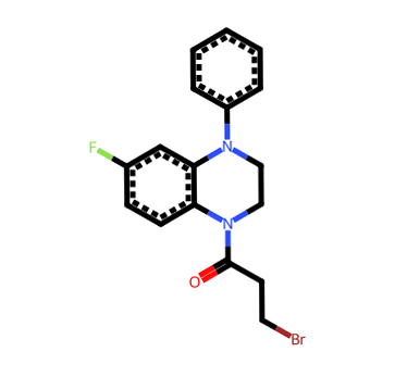 O=C(CCBr)N1CCN(c2ccccc2)c2cc(F)ccc21